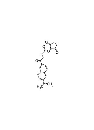 CN(C)c1ccc2cc(C(=O)CCC(=O)ON3C(=O)CCC3=O)ccc2c1